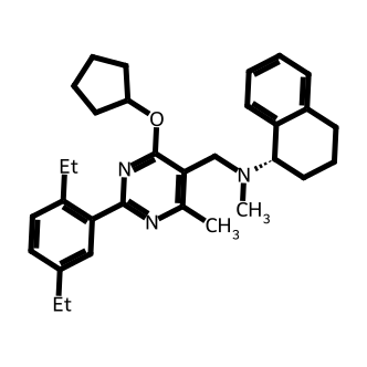 CCc1ccc(CC)c(-c2nc(C)c(CN(C)[C@H]3CCCc4ccccc43)c(OC3CCCC3)n2)c1